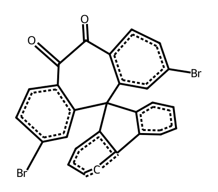 O=C1C(=O)c2ccc(Br)cc2C2(c3cc(Br)ccc31)c1ccccc1-c1ccccc12